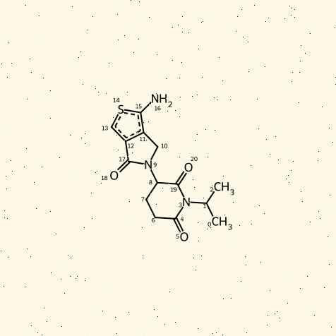 CC(C)N1C(=O)CCC(N2Cc3c(csc3N)C2=O)C1=O